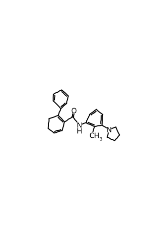 Cc1c(NC(=O)C2=C(c3ccccc3)CCC=C2)cccc1N1CCCC1